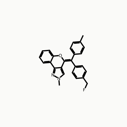 Cc1ccc(/C(=C2\Oc3ccccc3-c3nn(C)cc32)c2ccc(CF)cc2)cc1